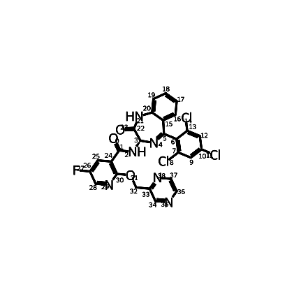 O=C(N[C@@H]1N=C(c2c(Cl)cc(Cl)cc2Cl)c2ccccc2NC1=O)c1cc(F)cnc1OCc1cnccn1